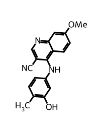 COc1ccc2c(Nc3ccc(C)c(O)c3)c(C#N)cnc2c1